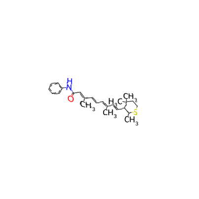 CC(/C=C/C1C(C)SCCC1(C)C)=C\C=C\C(C)=C\C(=O)Nc1ccccc1